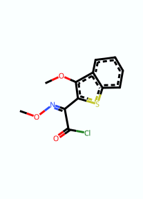 CON=C(C(=O)Cl)c1sc2ccccc2c1OC